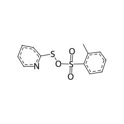 Cc1ccccc1S(=O)(=O)OSc1ccccn1